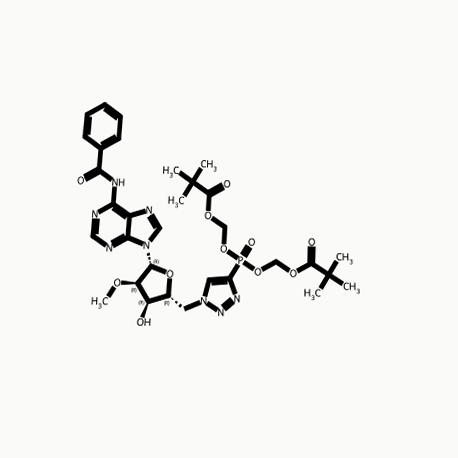 CO[C@@H]1[C@H](O)[C@@H](Cn2cc(P(=O)(OCOC(=O)C(C)(C)C)OCOC(=O)C(C)(C)C)nn2)O[C@H]1n1cnc2c(NC(=O)c3ccccc3)ncnc21